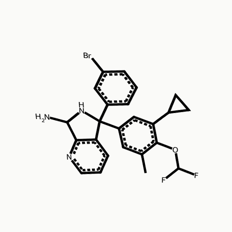 Cc1cc(C2(c3cccc(Br)c3)NC(N)c3ncccc32)cc(C2CC2)c1OC(F)F